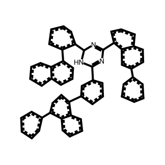 c1ccc(-c2ccc3cccc(C4=NC(c5ccccc5-c5cccc6ccccc56)NC(c5cccc(-c6ccc(-c7ccccc7)c7ccccc67)c5)=N4)c3c2)cc1